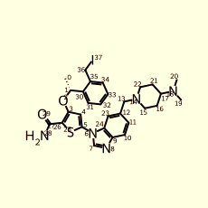 C[C@@H](Oc1cc(-n2cnc3ccc(CN4CCC(N(C)C)CC4)cc32)sc1C(N)=O)c1ccccc1CI